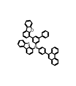 c1ccc(-c2cc(-c3cccc4c3oc3ccccc34)cc(N(c3ccc(-c4cc5ccccc5c5ccccc45)cc3)c3cccc4c3sc3ccccc34)c2)cc1